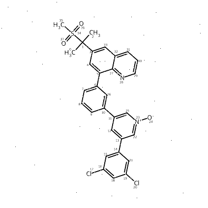 CC(C)(c1cc(-c2cccc(-c3cc(-c4cc(Cl)cc(Cl)c4)c[n+]([O-])c3)c2)c2ncccc2c1)S(C)(=O)=O